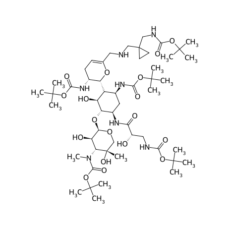 CN(C(=O)OC(C)(C)C)[C@@H]1[C@@H](O)[C@@H](O[C@H]2[C@H](NC(=O)[C@@H](O)CNC(=O)OC(C)(C)C)C[C@H](NC(=O)OC(C)(C)C)C([C@H]3OC(CNCC4(CNC(=O)OC(C)(C)C)CC4)=CC[C@H]3NC(=O)OC(C)(C)C)[C@@H]2O)OC[C@]1(C)O